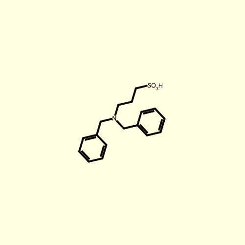 O=S(=O)(O)CCCN(Cc1ccccc1)Cc1ccccc1